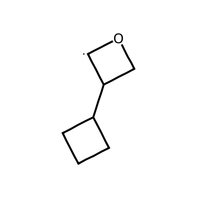 [CH]1OCC1C1CCC1